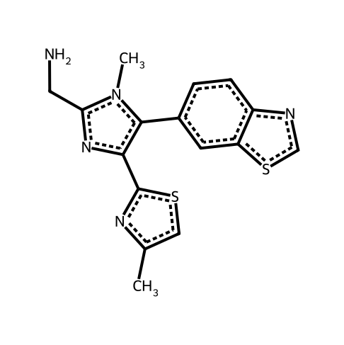 Cc1csc(-c2nc(CN)n(C)c2-c2ccc3ncsc3c2)n1